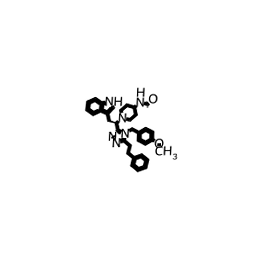 COc1ccc(Cn2c(CCc3ccccc3)nnc2[C@@H](Cc2c[nH]c3ccccc23)N2CCC(N[C]=O)CC2)cc1